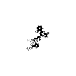 COC(=O)c1sccc1S(=O)(=O)N(C)CCCNc1cc(-c2ccccc2Cl)nc2c(Br)cnn12